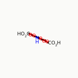 O=C(O)COCCOCCNCCOCCOCCOCC(=O)O